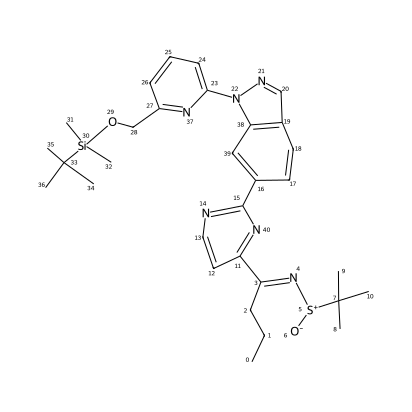 CCCC(=N[S+]([O-])C(C)(C)C)c1ccnc(-c2ccc3cnn(-c4cccc(CO[Si](C)(C)C(C)(C)C)n4)c3c2)n1